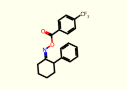 O=C(ON=C1CCCCC1c1ccccc1)c1ccc(C(F)(F)F)cc1